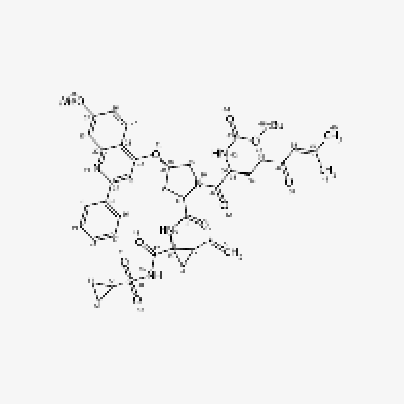 C=CC1C[C@]1(NC(=O)C1C[C@@H](Oc2cc(-c3ccccc3)nc3cc(OC)ccc23)CN1C(=O)[C@H](CCC(=O)C=C(C)C)NC(=O)OC(C)(C)C)C(=O)NS(=O)(=O)C1CC1